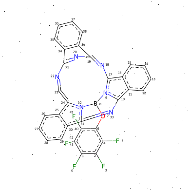 Fc1c(F)c(F)c(OB2n3c4c5ccccc5c3/N=C3\N=C(N=C=c5c6ccccc6c(n52)=N4)c2ccccc23)c(F)c1F